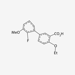 CCOc1ccc(-c2cccc(OC)c2F)cc1C(=O)O